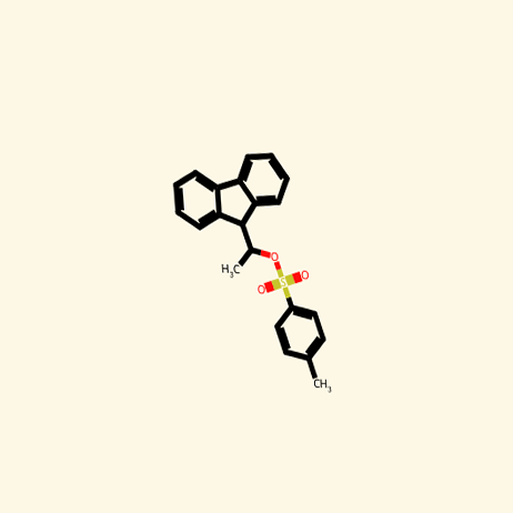 Cc1ccc(S(=O)(=O)OC(C)C2c3ccccc3-c3ccccc32)cc1